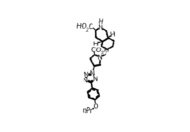 CCCOc1ccc(-c2nnn([C@H]3C[C@@H](C(=O)O)N(C[C@H]4CC[C@H]5CN[C@H](C(=O)O)C[C@H]5C4)C3)n2)cc1